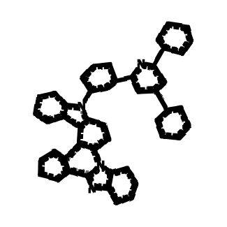 c1ccc(-c2cc(-c3ccccc3)nc(-c3cccc(-n4c5ccccc5c5c6c7ccccc7c7nc8ccccc8n7c6ccc54)c3)c2)cc1